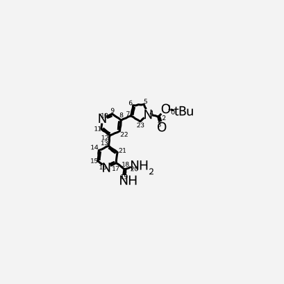 CC(C)(C)OC(=O)N1CC=C(c2cncc(-c3ccnc(C(=N)N)c3)c2)C1